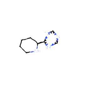 c1ncnc(C2CCCCN2)n1